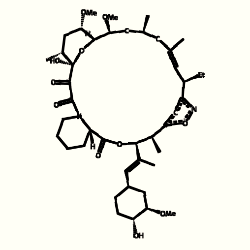 CC[C@@H]1/C=C(\C)C[C@H](C)C[C@H](OC)[C@H]2O[C@@](O)(C(=O)C(=O)N3CCCC[C@H]3C(=O)O[C@H](/C(C)=C/[C@@H]3CC[C@@H](O)[C@H](OC)C3)[C@H](C)c3cc1no3)[C@H](C)C[C@@H]2OC